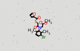 COC(=O)CN(C(=O)CSC(=O)c1ccco1)c1c(C)ccc(Br)c1C